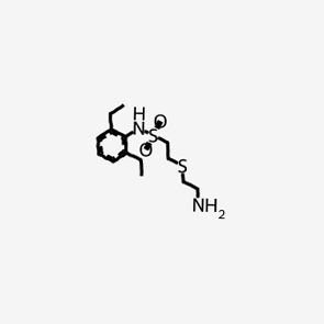 CCc1cccc(CC)c1NS(=O)(=O)CCSCCN